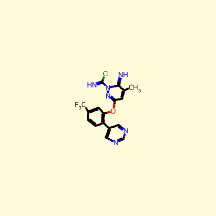 Cc1cc(Oc2cc(C(F)(F)F)ccc2-c2cncnc2)nn(C(=N)Cl)c1=N